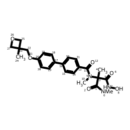 CNC(=O)C(C)(C(=O)NO)N(C)C(=O)c1ccc(-c2ccc(OCC3(C)COC3)cc2)cc1